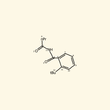 CCCC(=O)NC(=O)c1ccccc1C(C)(C)C